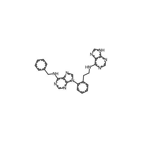 c1ccc(CNc2ncnc3c2ncn3-c2ccccc2CCNc2ncnc3[nH]cnc23)cc1